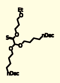 CCCCCCCCCCCCCCOC(OCCCCCCCCCCCCCC)C(=S)OCCCOCC